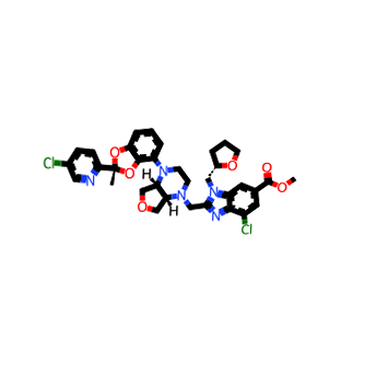 COC(=O)c1cc(Cl)c2nc(CN3CCN(c4cccc5c4O[C@](C)(c4ccc(Cl)cn4)O5)[C@H]4COC[C@H]43)n(C[C@@H]3CCCO3)c2c1